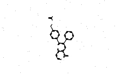 O=C(O)NCc1ccc(-c2nc3cc[nH]c(=O)c3cc2-c2ccccc2)cc1